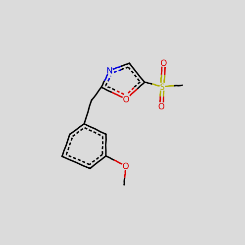 COc1cccc(Cc2ncc(S(C)(=O)=O)o2)c1